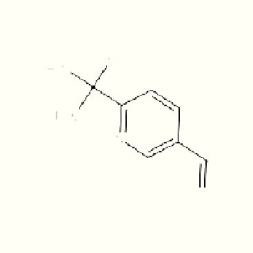 CC(C)(C)c1ccc(C=O)cn1